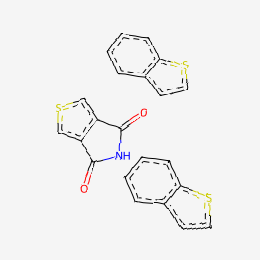 O=C1NC(=O)c2cscc21.c1ccc2sccc2c1.c1ccc2sccc2c1